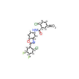 O=C(Nc1ccc2oc(-c3cc(F)c(F)cc3Cl)nc2c1)c1cc([N+](=O)[O-])ccc1Cl